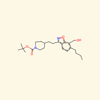 CCCCc1ccc2c(CCC3CCN(C(=O)OC(C)(C)C)CC3)noc2c1CO